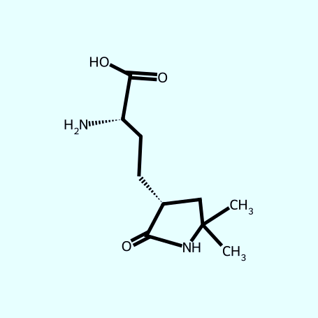 CC1(C)C[C@@H](CC[C@H](N)C(=O)O)C(=O)N1